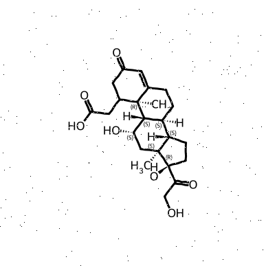 C[C@]12C[C@H](O)[C@H]3[C@@H](CCC4=CC(=O)CC(CC(=O)O)[C@@]43C)[C@@H]1CC[C@]2(O)C(=O)CO